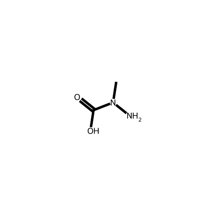 CN(N)C(=O)O